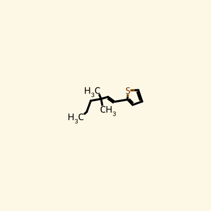 CCCC(C)(C)/C=C/c1cccs1